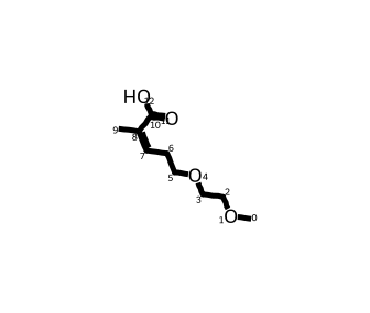 COCCOCCC=C(C)C(=O)O